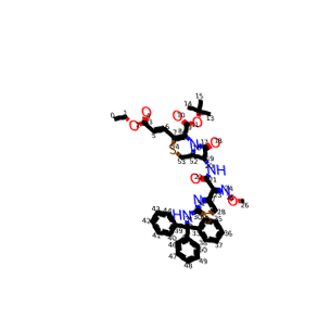 CCOC(=O)C=CC1=C(C(=O)OC(C)(C)C)N2C(=O)C(NC(=O)C(=NOC)c3csc(NC(c4ccccc4)(c4ccccc4)c4ccccc4)n3)C2CS1